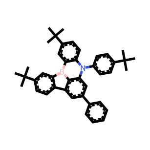 CC(C)(C)c1ccc(N2c3ccc(C(C)(C)C)cc3B3c4cc(C(C)(C)C)ccc4-c4cc(-c5ccccc5)cc2c43)cc1